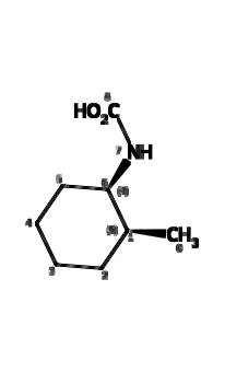 C[C@H]1CCCC[C@H]1NC(=O)O